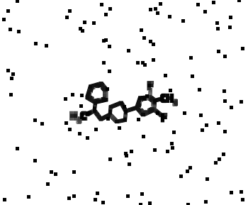 Cc1c(F)cc(C2CCC(C[C@@H](C)c3ccccc3)CC2)cc1F